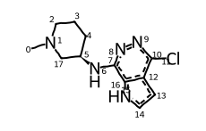 CN1CCC[C@@H](Nc2nnc(Cl)c3cc[nH]c23)C1